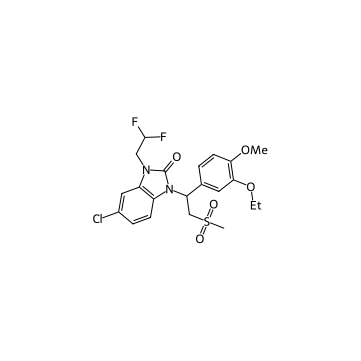 CCOc1cc(C(CS(C)(=O)=O)n2c(=O)n(CC(F)F)c3cc(Cl)ccc32)ccc1OC